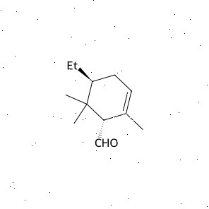 CC[C@H]1CC=C(C)[C@H](C=O)C1(C)C